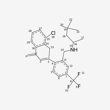 C=C1C=C(c2ccc(C(F)(F)F)cc2CNC(C)CC(C)(C)C)Cc2c(Cl)cccc21